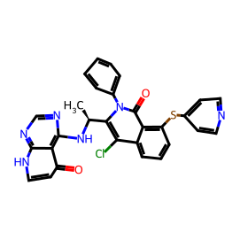 C[C@H](Nc1ncnc2[nH]ccc(=O)c12)c1c(Cl)c2cccc(Sc3ccncc3)c2c(=O)n1-c1ccccc1